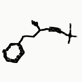 C[Si](C)(C)C#CC(O)CCc1cccnc1